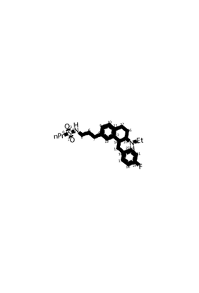 CCCS(=O)(=O)NCCCc1ccc2c(c1)C(Cc1ccc(F)cc1)C(NCC)CC2